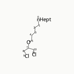 CCCCCCCCCCCCOC(CCl)CCl